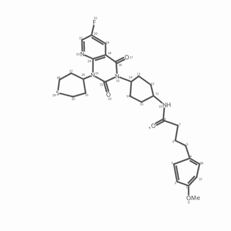 COc1ccc(CCCC(=O)NC2CCC(n3c(=O)c4cc(F)cnc4n(C4CCSCC4)c3=O)CC2)cc1